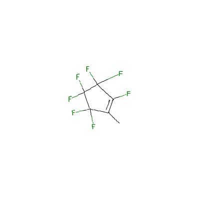 CC1=C(F)C(F)(F)C(F)(F)C1(F)F